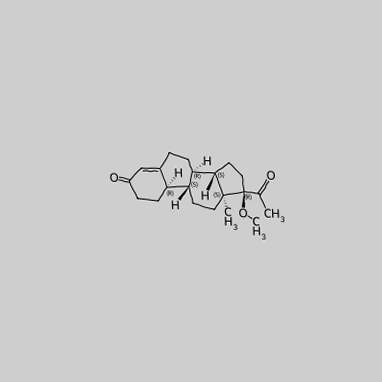 CO[C@]1(C(C)=O)CC[C@H]2[C@@H]3CCC4=CC(=O)CC[C@@H]4[C@H]3CC[C@@]21C